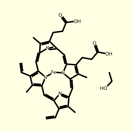 C=CC1=C(C)C2=NC/1=C\c1c(C)c(C=C)c3[n]1[Fe][n]1/c(c(C)c(CCC(=O)O)/c1=C/C1=NC(=C\3)/C(C)=C1CCC(=O)O)=C\2.CCO